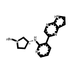 CCCCN1CC[C@@H](Nc2ncccc2-c2cnc3[nH]ccc3n2)C1